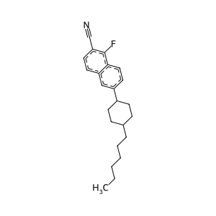 CCCCCCC1CCC(c2ccc3c(F)c(C#N)ccc3c2)CC1